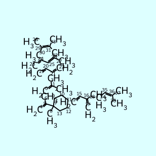 C=C(C)C.C=C(C)C1(C)CCCCC1.C=CC(=C)C.C=CC=C.C=CC=CC.CC(C)=C(C)C.CC=C(C)C